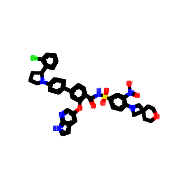 O=C(NS(=O)(=O)c1ccc(N2CC3(CCOCC3)C2)c([N+](=O)[O-])c1)c1ccc(-c2ccc(N3CCCC3c3ccccc3Cl)cc2)cc1Oc1cnc2[nH]ccc2c1